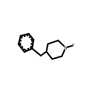 FN1CCC(Cc2ccccc2)CC1